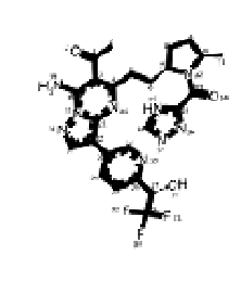 CC(=O)c1c(CC[C@H]2CC[C@@H](C)N2C(=O)c2nnc[nH]2)nc2c(-c3ccc([C@H](O)C(F)(F)F)nc3)cnn2c1N